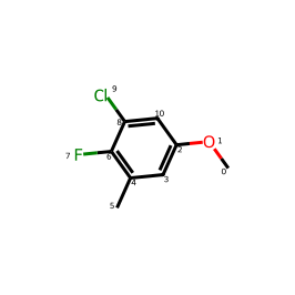 COc1cc(C)c(F)c(Cl)c1